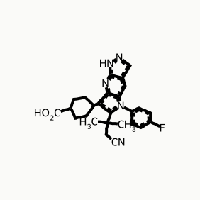 CC(C)(CC#N)c1c(C2CCC(C(=O)O)CC2)c2nc3[nH]ncc3cc2n1-c1ccc(F)cc1